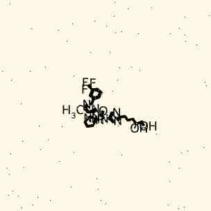 Cc1nc(-c2cccc(C(F)(F)F)c2)nc2c1N1CCC[C@@H](C1)N2C(=O)Nc1cnc(CCC[C@H](O)CO)nc1